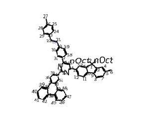 CCCCCCCCC1(CCCCCCCC)c2cc(C)ccc2-c2ccc(-c3cc(-c4ccc(/C=C/c5ccc(C)cc5)cc4)nc(-c4ccc5c6ccccc6c6ccccc6c5c4)n3)cc21